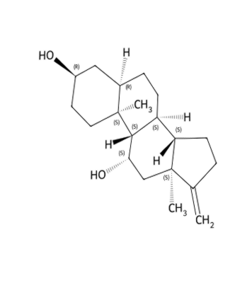 C=C1CC[C@H]2[C@@H]3CC[C@@H]4C[C@H](O)CC[C@]4(C)[C@H]3[C@@H](O)C[C@]12C